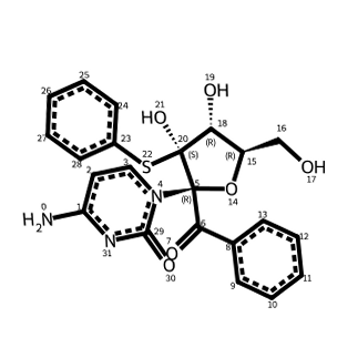 Nc1ccn([C@]2(C(=O)c3ccccc3)O[C@H](CO)[C@@H](O)[C@]2(O)Sc2ccccc2)c(=O)n1